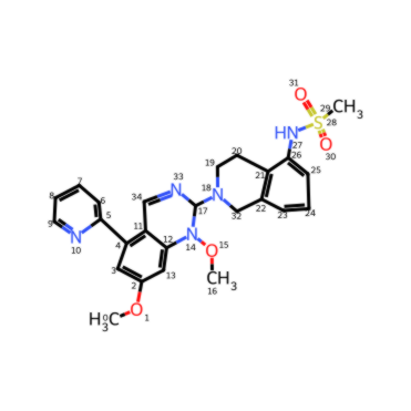 COc1cc(-c2ccccn2)c2c(c1)N(OC)C(N1CCc3c(cccc3NS(C)(=O)=O)C1)N=C2